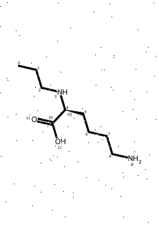 CCCN[C@@H](CCCCN)C(=O)O